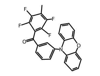 Cc1c(F)c(F)c(C(=O)c2cccc(N3c4ccccc4Oc4ccccc43)c2)c(F)c1F